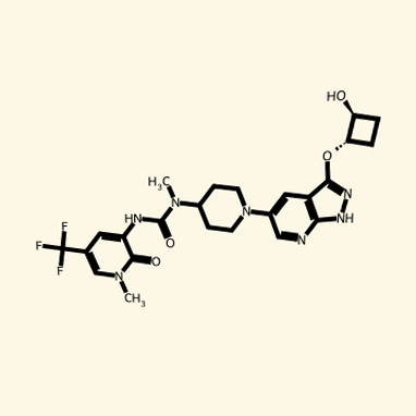 CN(C(=O)Nc1cc(C(F)(F)F)cn(C)c1=O)C1CCN(c2cnc3[nH]nc(O[C@H]4CC[C@@H]4O)c3c2)CC1